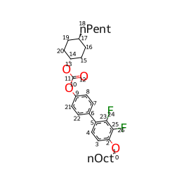 CCCCCCCCOc1ccc(-c2ccc(OC(=O)O[C@H]3CC[C@H](CCCCC)CC3)cc2)c(F)c1F